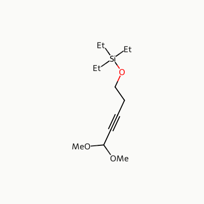 CC[Si](CC)(CC)OCCC#CC(OC)OC